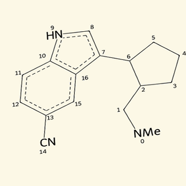 CNCC1CCCC1c1c[nH]c2ccc(C#N)cc12